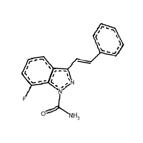 NC(=O)n1nc(C=Cc2ccccc2)c2c[c]cc(F)c21